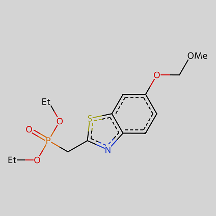 CCOP(=O)(Cc1nc2ccc(OCOC)cc2s1)OCC